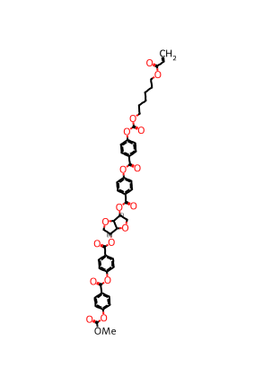 C=CC(=O)OCCCCCCOC(=O)Oc1ccc(C(=O)Oc2ccc(C(=O)O[C@H]3COC4C3OC[C@H]4OC(=O)c3ccc(OC(=O)c4ccc(OC(=O)OC)cc4)cc3)cc2)cc1